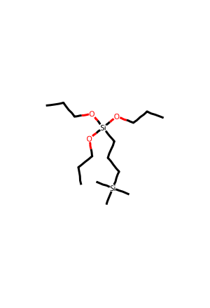 CCCO[Si](CCC[Si](C)(C)C)(OCCC)OCCC